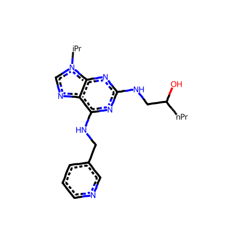 CCCC(O)CNc1nc(NCc2cccnc2)c2ncn(C(C)C)c2n1